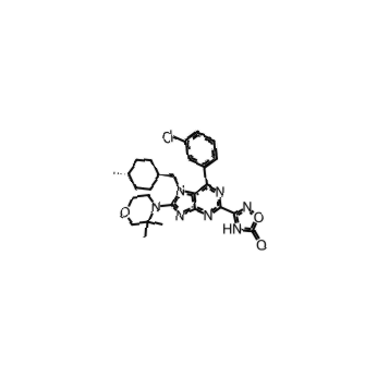 CC1(C)COCCN1c1nc2nc(-c3noc(=O)[nH]3)nc(-c3cccc(Cl)c3)c2n1C[C@H]1CC[C@H](C)CC1